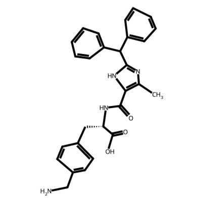 Cc1nc(C(c2ccccc2)c2ccccc2)[nH]c1C(=O)N[C@@H](Cc1ccc(CN)cc1)C(=O)O